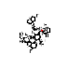 [2H]C([2H])([2H])c1cc2c(N3C[C@H]4CC[C@@H](C3)N4C(=O)OC(C)(C)C)nc(OC[C@@]34CCCN3C[C@H](F)C4)nc2c(F)c1-c1ccc(F)c2sc(NC(=O)OC(C)(C)C)c(C#N)c12